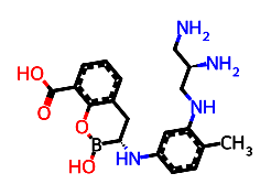 Cc1ccc(N[C@H]2Cc3cccc(C(=O)O)c3OB2O)cc1NC[C@H](N)CN